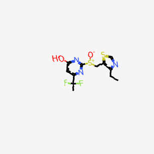 CCc1ncsc1C[S+]([O-])c1nc(O)cc(C(C)(F)F)n1